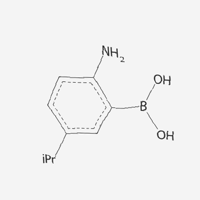 CC(C)c1ccc(N)c(B(O)O)c1